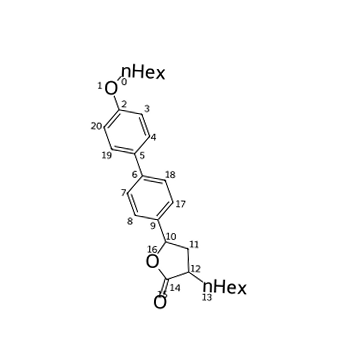 CCCCCCOc1ccc(-c2ccc(C3CC(CCCCCC)C(=O)O3)cc2)cc1